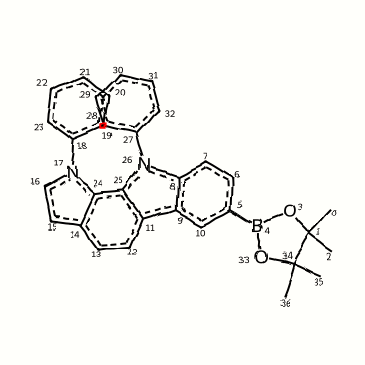 CC1(C)OB(c2ccc3c(c2)c2ccc4ccn(-c5ccccc5)c4c2n3-c2ccccc2)OC1(C)C